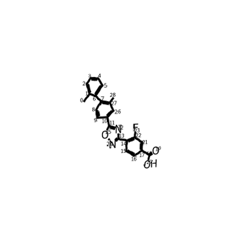 Cc1ccccc1-c1ccc(-c2nc(-c3ccc(C(=O)O)cc3F)no2)cc1C